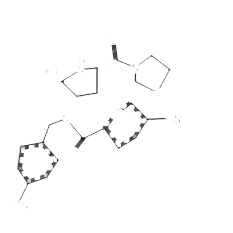 Cl.N#Cc1ccc(CN(C(=O)c2ccc(C#N)cc2)[C@@H]2CN[C@H](C(=O)N3CCSC3)C2)cc1